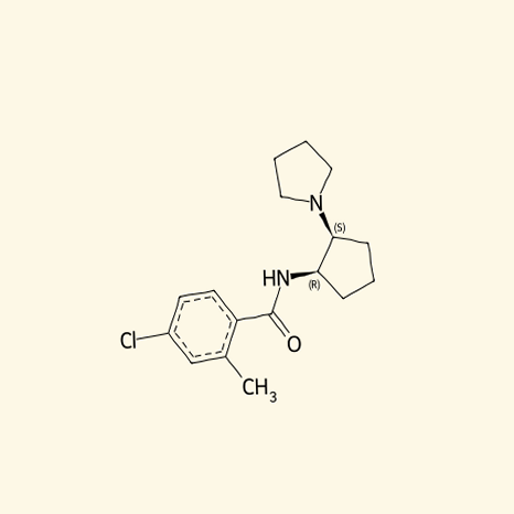 Cc1cc(Cl)ccc1C(=O)N[C@@H]1CCC[C@@H]1N1CCCC1